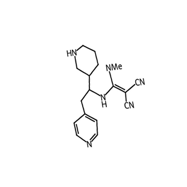 CNC(NC(Cc1ccncc1)C1CCCNC1)=C(C#N)C#N